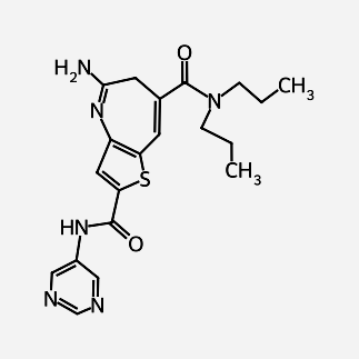 CCCN(CCC)C(=O)C1=Cc2sc(C(=O)Nc3cncnc3)cc2N=C(N)C1